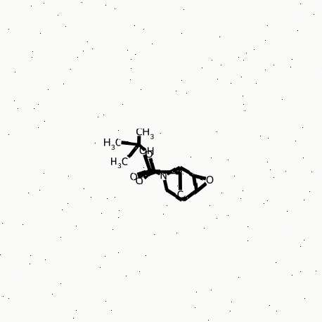 CC(C)(C)OC(=O)N1CC2CC(C(=O)O)C1C1OC21